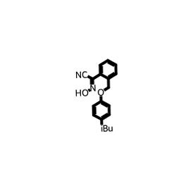 CCC(C)c1ccc(OCc2ccccc2C(C#N)=NO)cc1